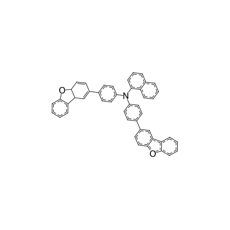 C1=CC2Oc3ccccc3C2C=C1c1ccc(N(c2ccc(-c3ccc4oc5ccccc5c4c3)cc2)c2cccc3ccccc23)cc1